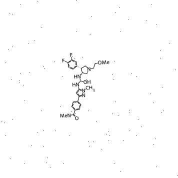 CNC(=O)c1ccc(-c2cc(NC(O)N[C@@H]3CN(CCOC)C[C@H]3c3ccc(F)c(F)c3)n(C)n2)cc1